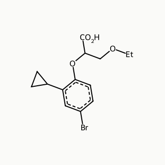 CCOCC(Oc1ccc(Br)cc1C1CC1)C(=O)O